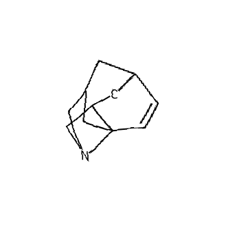 C1=CC23CC4CC1CC2CN3C4